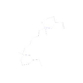 C=CC1CCC[N+](C)(CCOCC[N+]2(C)CCCC(C=C)C2)C1